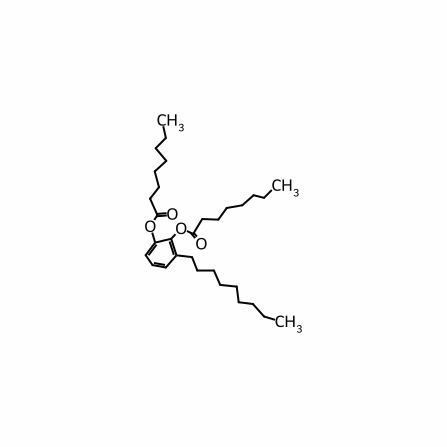 CCCCCCCCCc1cccc(OC(=O)CCCCCCC)c1OC(=O)CCCCCCC